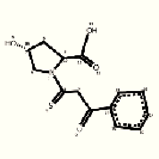 O=C(CC(=S)N1C[C@H](O)C[C@H]1C(=O)O)c1ccccc1